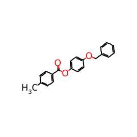 Cc1ccc(C(=O)Oc2ccc(OCc3ccccc3)cc2)cc1